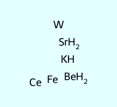 [BeH2].[Ce].[Fe].[KH].[SrH2].[W]